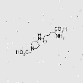 NC(CCCC(=O)NC1CCN(CC(=O)O)CC1)C(=O)O